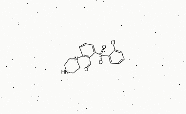 O=Cc1c(N2CCNCC2)cccc1S(=O)(=O)c1ccccc1Cl